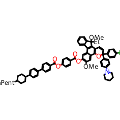 CCCCCC1CCC(c2ccc(-c3ccc(C(=O)Oc4ccc(C(=O)Oc5cc6c7c(c8c(c6cc5OC)OC(c5ccc(F)cc5)(c5ccc(N6CCCCC6)cc5)C=C8)C(CC)(OC)c5ccccc5-7)cc4)cc3)cc2)CC1